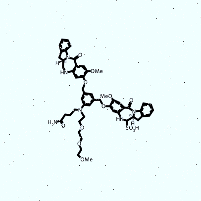 COCCOCCOCCN(CCCC(N)=O)c1cc(COc2cc3c(cc2OC)C(=O)N2c4ccccc4C[C@H]2CN3)cc(COc2cc3c(cc2OC)C(=O)N2c4ccccc4C[C@H]2C(S(=O)(=O)O)N3)c1